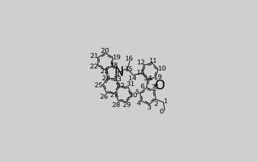 CCc1cccc2c1oc1cccc(CC(C)n3c4ccccc4c4ccc5ccccc5c43)c12